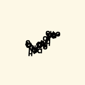 COc1ccc(C(CO)NC(=O)CN2Cc3ccc(-c4nc(NC5CCOCC5)ncc4Cl)cc3C2=O)cc1